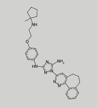 CC1(NCCOc2ccc(Nc3nc(N)n(-c4cc5c(nn4)-c4ccccc4CCC5)n3)cc2)CCCC1